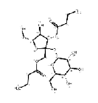 CCCC(=O)OC[C@@]1(O[C@H]2O[C@H](CO)[C@@H](O)[C@H](O)[C@H]2O)O[C@H](CO)[C@@H](O)[C@@H]1OC(=O)CCC